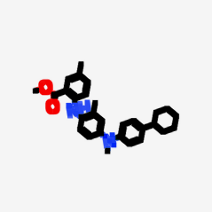 COC(=O)c1cc(C)ccc1Nc1ccc(N(C)c2ccc(C3CCCCC3)cc2)cc1C